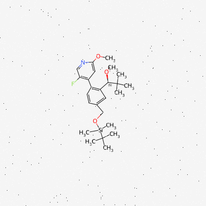 COc1cc(-c2ccc(CO[Si](C)(C)C(C)(C)C)cc2[C@@H](OC)C(C)(C)C)c(F)cn1